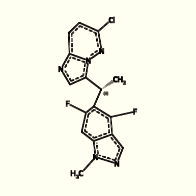 C[C@H](c1c(F)cc2c(cnn2C)c1F)c1cnc2ccc(Cl)nn12